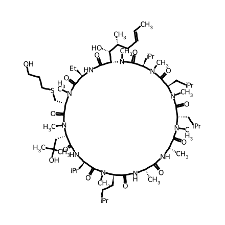 C/C=C/C[C@@H](C)[C@@H](O)[C@H]1C(=O)N[C@H](CC)C(=O)N(C)[C@@H](CSCCCO)C(=O)N(C)[C@@H](CC(C)(C)O)C(=O)N[C@H](C(C)C)C(=O)N(C)[C@H](CCC(C)C)C(=O)N[C@@H](C)C(=O)N[C@@H](C)C(=O)N(C)[C@@H](CC(C)C)C(=O)N(C)[C@H](CC(C)C)C(=O)N(C)[C@H](C(C)C)C(=O)N1C